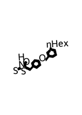 CCCCCCc1cccc(COc2ccc(C=C3SC(=S)NC3=O)cc2)c1